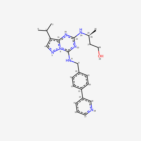 CC(C)c1cnn2c(NCc3ccc(-c4cccnc4)cc3)nc(N[C@@H](C)CCO)nc12